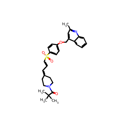 Cc1cc(COc2ccc(S(=O)(=O)C=CC=C3CCN(C(=O)C(C)(C)C)CC3)cc2)c2ccccc2n1